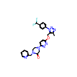 Cc1nnn(-c2ccc(C(F)F)cc2)c1COc1ccc(N2CCN(Cc3ccccn3)C(=O)C2)nn1